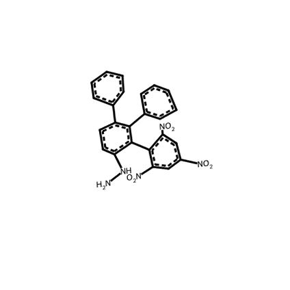 NNc1ccc(-c2ccccc2)c(-c2ccccc2)c1-c1c([N+](=O)[O-])cc([N+](=O)[O-])cc1[N+](=O)[O-]